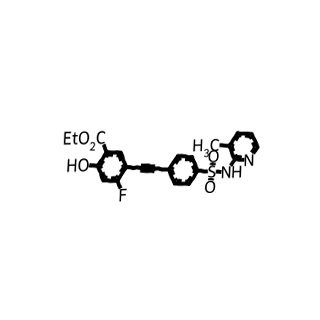 CCOC(=O)c1cc(C#Cc2ccc(S(=O)(=O)Nc3ncccc3C)cc2)c(F)cc1O